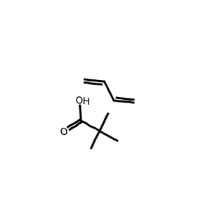 C=CC=C.CC(C)(C)C(=O)O